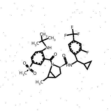 CC1C2C[C@H](C(=O)NC(c3ccc(C(F)(F)F)cc3F)C3CC3)N(C(=O)c3cc(S(C)(=O)=O)ccc3NC(C)(C)C)C12